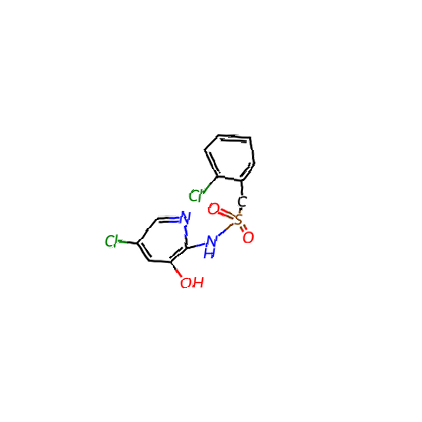 O=S(=O)(Cc1ccccc1Cl)Nc1ncc(Cl)cc1O